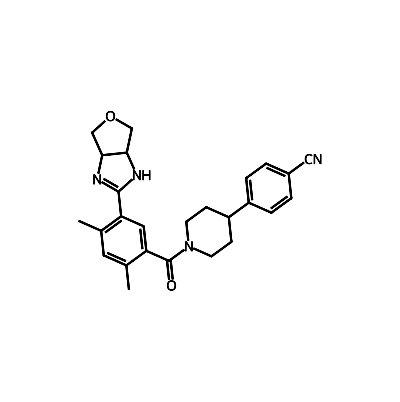 Cc1cc(C)c(C2=NC3COCC3N2)cc1C(=O)N1CCC(c2ccc(C#N)cc2)CC1